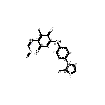 C=N/C=N\C1=C(C)C(=O)C(Nc2ccc(-n3ccnc3C)cc2)=CC1=O